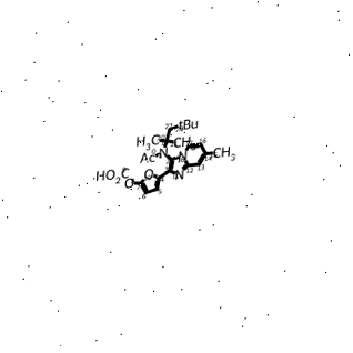 CC(=O)N(c1c(-c2ccc(OC(=O)O)o2)nc2cc(C)ccn12)C(C)(C)CC(C)(C)C